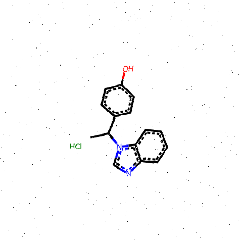 CC(c1ccc(O)cc1)n1cnc2ccccc21.Cl